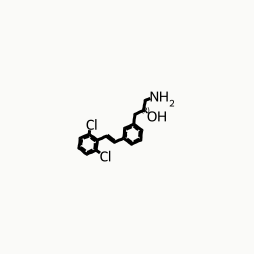 NC[C@H](O)Cc1cccc(C=Cc2c(Cl)cccc2Cl)c1